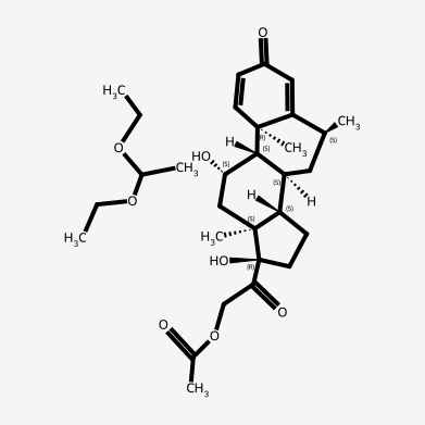 CC(=O)OCC(=O)[C@@]1(O)CC[C@H]2[C@@H]3C[C@H](C)C4=CC(=O)C=C[C@]4(C)[C@H]3[C@@H](O)C[C@@]21C.CCOC(C)OCC